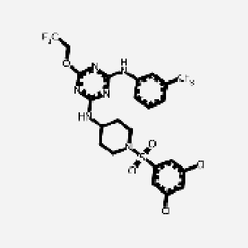 O=S(=O)(c1cc(Cl)cc(Cl)c1)N1CCC(Nc2nc(Nc3cccc(C(F)(F)F)c3)nc(OCC(F)(F)F)n2)CC1